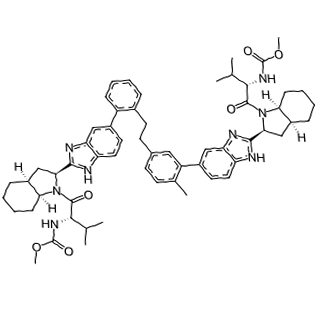 COC(=O)N[C@H](C(=O)N1[C@H](c2nc3cc(-c4cc(CCc5ccccc5-c5ccc6[nH]c([C@@H]7C[C@@H]8CCCC[C@@H]8N7C(=O)[C@@H](NC(=O)OC)C(C)C)nc6c5)ccc4C)ccc3[nH]2)C[C@@H]2CCCC[C@@H]21)C(C)C